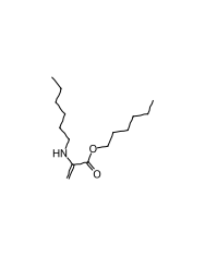 C=C(NCCCCCC)C(=O)OCCCCCC